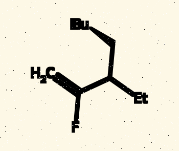 C=C(F)C(CC)C[C@H](C)CC